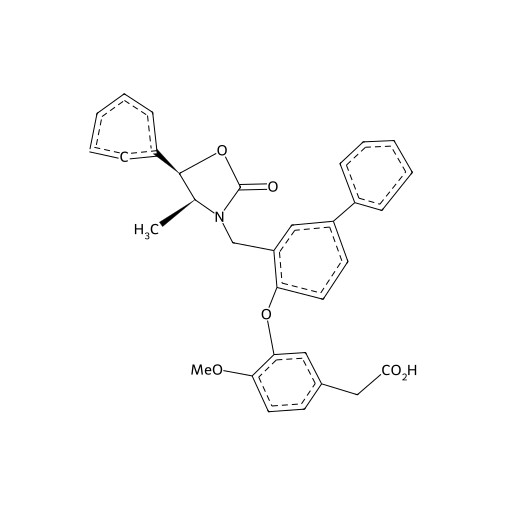 COc1ccc(CC(=O)O)cc1Oc1ccc(-c2ccccc2)cc1CN1C(=O)O[C@H](c2ccccc2)[C@@H]1C